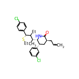 C=CC[C@H]1C[C@H](c2cccc(Cl)c2)[C@H](C(C)C(CC)[C@H](SCC)c2ccc(Cl)cc2)NC1=O